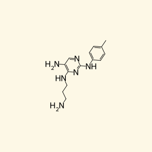 Cc1ccc(Nc2ncc(N)c(NCCCN)n2)cc1